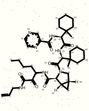 C=CCNC(=O)C(=O)C(CCCC)NC(=O)[C@@H]1[C@H]2C[C@H]2CN1C(=O)[C@@H](NC(=O)[C@@H](NC(=O)c1cnccn1)C1(C)CCCCC1)C1(C)CCCCC1